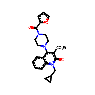 CCOC(=O)c1c(N2CCN(C(=O)c3ccco3)CC2)c2ccccc2n(CC2CC2)c1=O